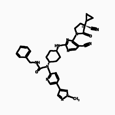 Cn1cc(-c2ccc(N(C(=O)NCc3ccccc3)[C@H]3CC[C@H](Nc4ncc(C#N)c(N5CC[C@@](C#N)(C6CC6)C5=O)n4)CC3)nc2)cn1